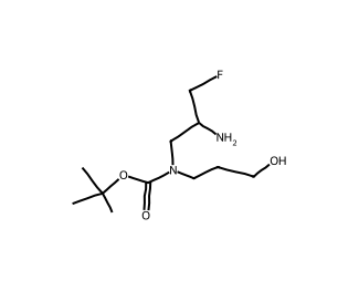 CC(C)(C)OC(=O)N(CCCO)CC(N)CF